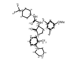 COc1cc(F)c([C@@H]2CN(c3nccc(N4CCOCC4)c3C(F)(F)F)C(=O)C2NC(=O)N[C@H]2CC[C@H](C(F)F)CC2)c(F)c1